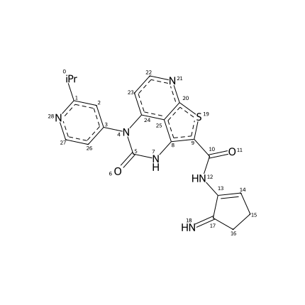 CC(C)c1cc(N2C(=O)Nc3c(C(=O)NC4=CCCC4=N)sc4nccc2c34)ccn1